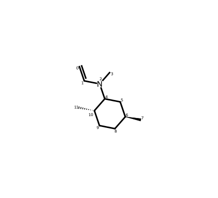 C=CN(C)C1C[C@@H](C)CC[C@@H]1C